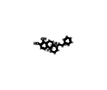 Oc1ccc2c(c1O)CC[C@@H]1[C@H]2CCCN1CCc1ccccc1